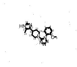 COc1ccccc1-n1nnnc1N1CCC(c2nc[nH]c2C)CC1